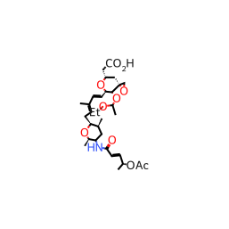 CCOC(C)O[C@@H]1[C@@H](C=CC(C)=CC[C@@H]2O[C@H](C)[C@H](NC(=O)C=C[C@H](C)OC(C)=O)C[C@@H]2C)O[C@H](CC(=O)O)C[C@@]12CO2